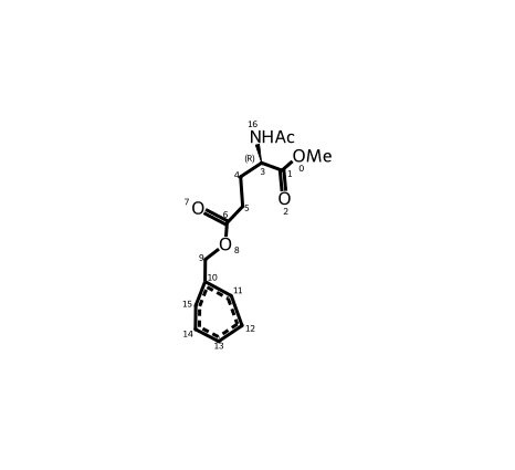 COC(=O)[C@@H](CCC(=O)OCc1ccccc1)NC(C)=O